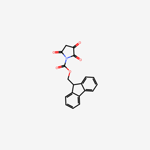 O=C1CC(=O)N(C(=O)OCC2c3ccccc3-c3ccccc32)C1=O